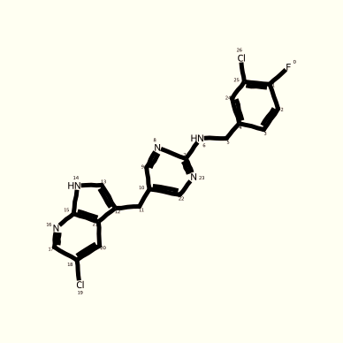 Fc1ccc(CNc2ncc(Cc3c[nH]c4ncc(Cl)cc34)cn2)cc1Cl